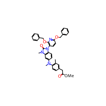 COC(=O)Cc1ccc(N(C)c2ccc3c(c2)n(C)c(=O)n3-c2ccc(OCc3ccccc3)nc2OCc2ccccc2)c(C)c1